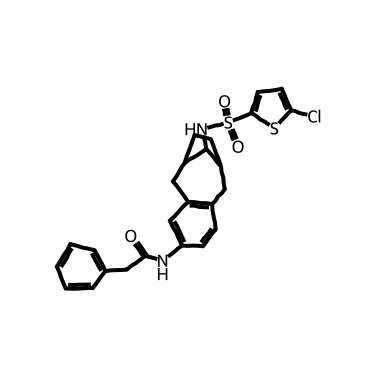 O=C(Cc1ccccc1)Nc1ccc2c(c1)CC1CCC(C2)C1NS(=O)(=O)c1ccc(Cl)s1